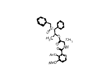 COc1ccnc(C(=O)N[C@@H](C)C(=O)O[C@@H](C)[C@@H](c2ccccc2)[S+]([O-])Cc2ccccc2)c1OC(C)=O